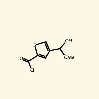 COC(O)c1csc(C(=O)Cl)c1